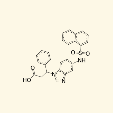 O=C(O)CC(c1ccccc1)n1cnc2cc(NS(=O)(=O)c3cccc4ccccc34)ccc21